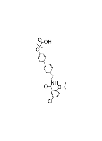 CC(C)Oc1ccc(Cl)cc1C(=O)NCCc1ccc(-c2ccc(OC(C)(C)C(=O)O)cc2)cc1